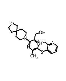 Cc1nc(N2CCC3(CCOC3)CC2)c(CO)nc1Sc1cccnc1C(F)(F)F